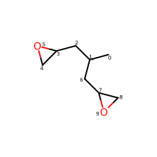 C[C](CC1CO1)CC1CO1